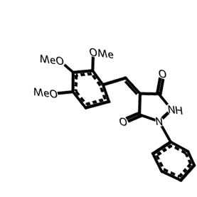 COc1ccc(C=C2C(=O)NN(c3ccccc3)C2=O)c(OC)c1OC